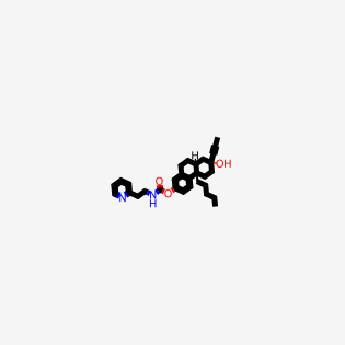 CC#C[C@@]1(O)CC[C@]2(CCCCC)c3ccc(OC(=O)NCCc4ccccn4)cc3CC[C@H]2C1